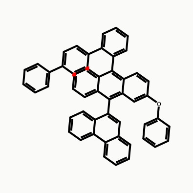 c1ccc(Oc2ccc3c(-c4ccccc4-c4ccc(-c5ccccc5)cc4)c4ccccc4c(-c4cc5ccccc5c5ccccc45)c3c2)cc1